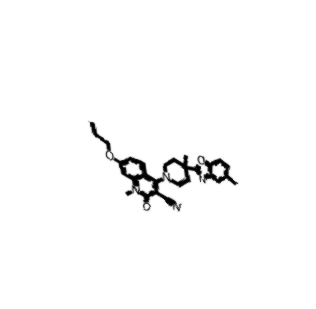 CCCOc1ccc2c(N3CCC(C)(c4nc5cc(C)ccc5o4)CC3)c(C#N)c(=O)n(C)c2c1